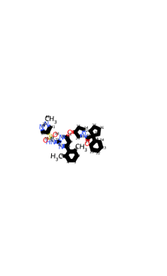 Cc1cccc(C)c1-c1cc(OC2CCN(C(=O)C3(c4ccccc4)CCCC3)C2)nc(NS(=O)(=O)c2cnn(C)c2)n1